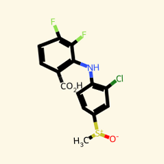 C[S+]([O-])c1ccc(Nc2c(C(=O)O)ccc(F)c2F)c(Cl)c1